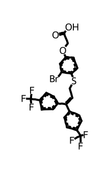 O=C(O)COc1ccc(SCC=C(c2ccc(C(F)(F)F)cc2)c2ccc(C(F)(F)F)cc2)c(Br)c1